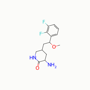 COC(CC1CNC(=O)C(N)C1)c1cccc(F)c1F